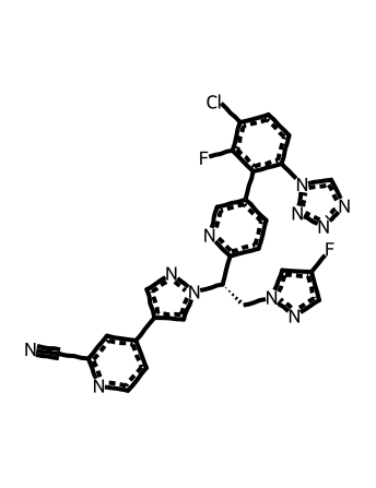 N#Cc1cc(-c2cnn([C@@H](Cn3cc(F)cn3)c3ccc(-c4c(-n5cnnn5)ccc(Cl)c4F)cn3)c2)ccn1